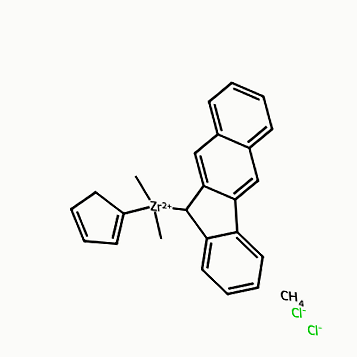 C.[CH3][Zr+2]([CH3])([C]1=CC=CC1)[CH]1c2ccccc2-c2cc3ccccc3cc21.[Cl-].[Cl-]